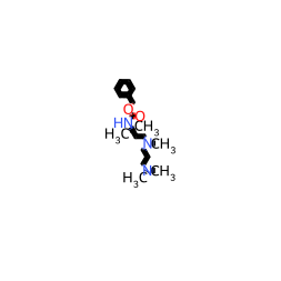 CN(C)CCCN(C)CCC(C)(C)NC(=O)OCc1ccccc1